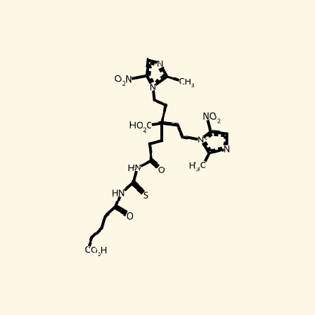 Cc1ncc([N+](=O)[O-])n1CCC(CCC(=O)NC(=S)NC(=O)CCCC(=O)O)(CCn1c([N+](=O)[O-])cnc1C)C(=O)O